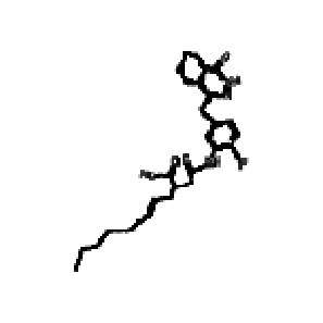 CCCCCC/C=C/CC(CC(=O)Nc1cc(Cc2n[nH]c(=O)c3ccccc23)ccc1F)C(=O)O